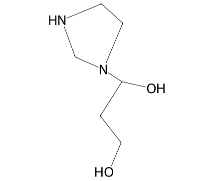 OCCC(O)N1CCNC1